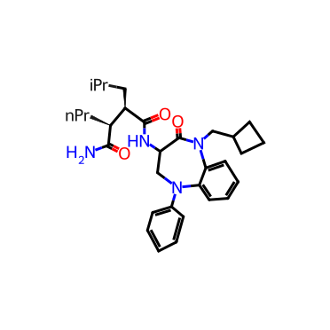 CCC[C@H](C(N)=O)[C@@H](CC(C)C)C(=O)NC1CN(c2ccccc2)c2ccccc2N(CC2CCC2)C1=O